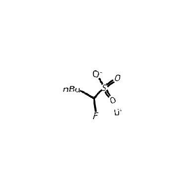 CCCCC(F)S(=O)(=O)[O-].[Li+]